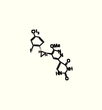 COc1nnc(-c2c[nH]c(=O)[nH]c2=O)cc1[C@H]1C[C@@H]1c1ccc(C)cc1F